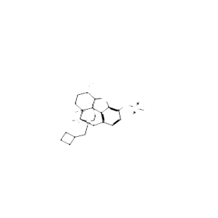 O=S(=O)(Oc1ccc2c3c1OC1[C@@H](O)CC[C@@]4(O)[C@@H](C2)N(CC2CCC2)CC[C@]314)C(F)(F)F